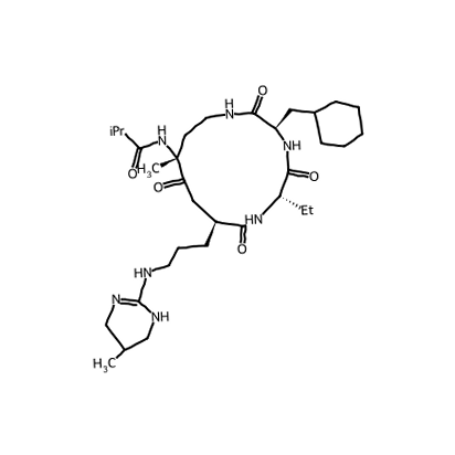 CC[C@@H]1NC(=O)[C@@H](CCCNC2=NCC(C)CN2)CC(=O)[C@](C)(NC(=O)C(C)C)CCNC(=O)[C@@H](CC2CCCCC2)NC1=O